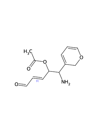 CC(=O)OC(/C=C/C=O)C(N)C1=CC=COC1